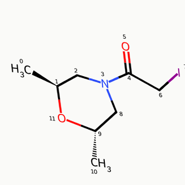 C[C@H]1CN(C(=O)CI)C[C@H](C)O1